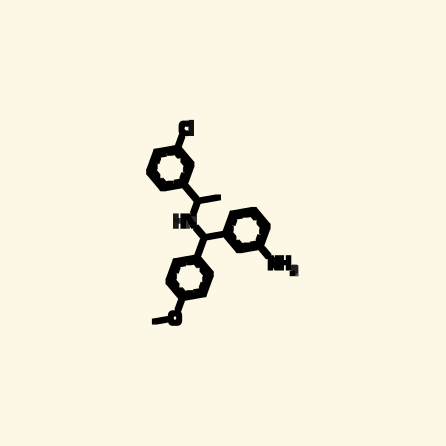 COc1ccc(C(NC(C)c2cccc(Cl)c2)c2cccc(N)c2)cc1